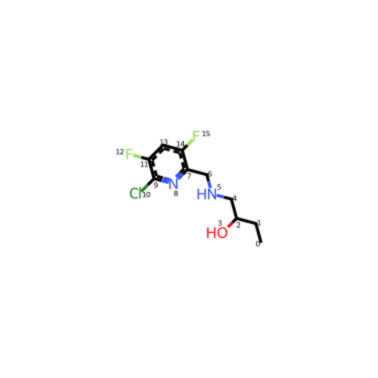 CCC(O)CNCc1nc(Cl)c(F)cc1F